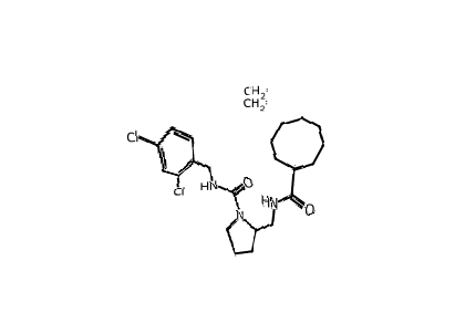 O=C(NCC1CCCN1C(=O)NCc1ccc(Cl)cc1Cl)[C]1CCCCCCC1.[CH2].[CH2]